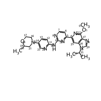 COc1nc(-c2ccnc(Nc3ccc(N4CCOC(C)C4)cn3)n2)cc2c1ncn2C(C)C